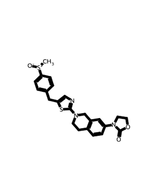 C[S+]([O-])c1ccc(Cc2cnc(N3CCc4ccc(N5CCOC5=O)cc4C3)s2)cc1